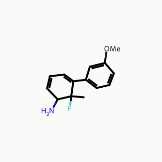 COc1cccc(C2=CC=CC(N)C2(C)F)c1